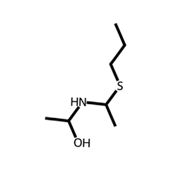 CCCSC(C)NC(C)O